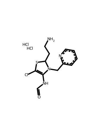 Cl.Cl.NCCC1SC(Cl)=C(NC=O)N1Cc1ccccn1